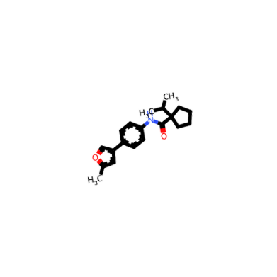 Cc1cc(-c2ccc(NC(=O)C3(C(C)C)CCCC3)cc2)co1